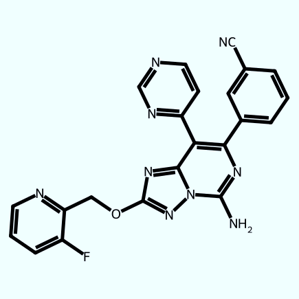 N#Cc1cccc(-c2nc(N)n3nc(OCc4ncccc4F)nc3c2-c2ccncn2)c1